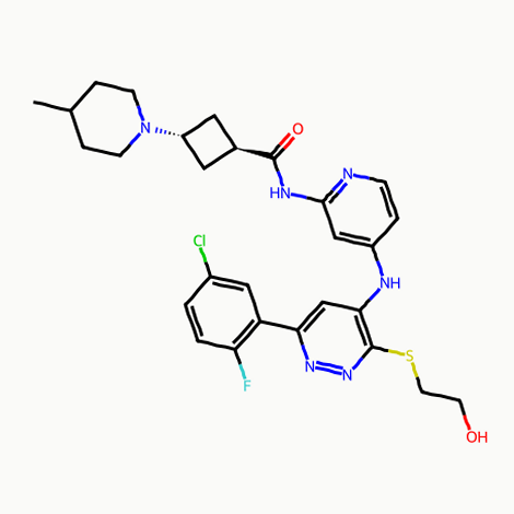 CC1CCN([C@H]2C[C@H](C(=O)Nc3cc(Nc4cc(-c5cc(Cl)ccc5F)nnc4SCCO)ccn3)C2)CC1